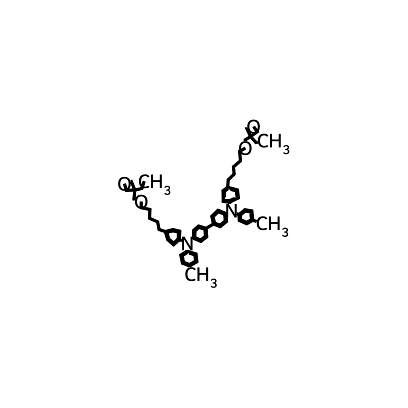 CCC1(COCCCCCc2ccc(N(c3ccc(C)cc3)c3ccc(-c4ccc(N(c5ccc(C)cc5)c5ccc(CCCCCOCC6(CC)COC6)cc5)cc4)cc3)cc2)COC1